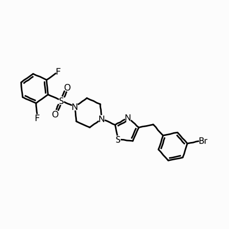 O=S(=O)(c1c(F)cccc1F)N1CCN(c2nc(Cc3cccc(Br)c3)cs2)CC1